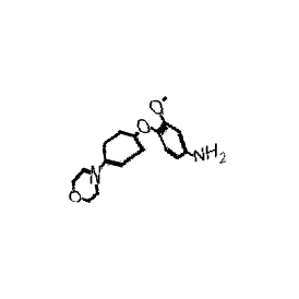 COc1cc(N)ccc1OC1CCC(N2CCOCC2)CC1